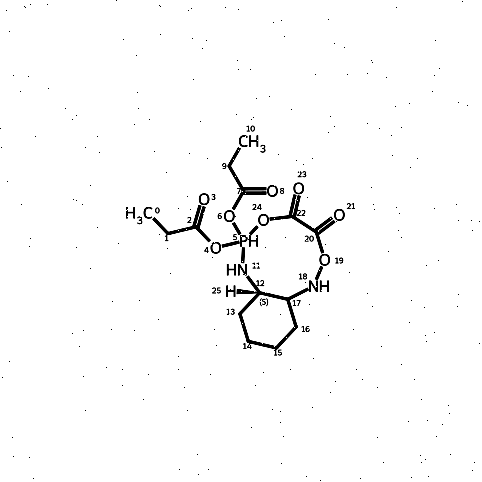 CCC(=O)O[PH]1(OC(=O)CC)N[C@H]2CCCCC2NOC(=O)C(=O)O1